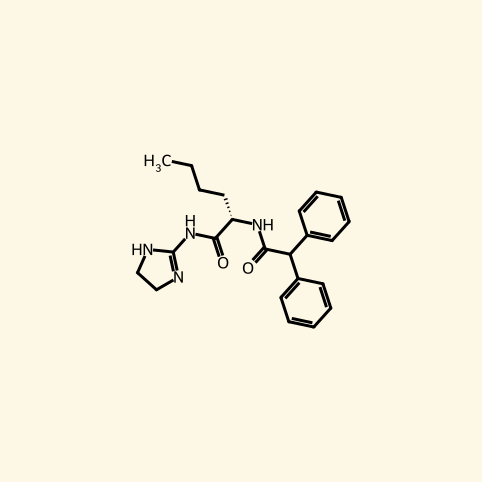 CCCC[C@H](NC(=O)C(c1ccccc1)c1ccccc1)C(=O)NC1=NCCN1